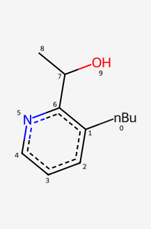 CCCCc1cccnc1C(C)O